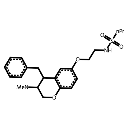 CCCS(=O)(=O)NCCOc1ccc2c(c1)C(Cc1ccccc1)C(NC)CO2